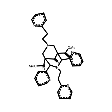 COC(=O)C12CN(CCc3ccccn3)CC(C(=O)OC)(C1=O)C(c1ccccn1)N(CCc1ccccn1)C2c1ccccn1